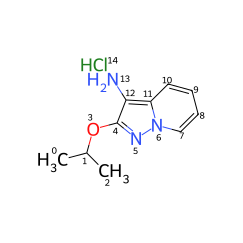 CC(C)Oc1nn2ccccc2c1N.Cl